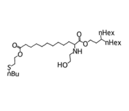 CCCCCCC(CCCCCC)CCOC(=O)C(CCCCCCCCCC(=O)OCCSCCCC)NCCO